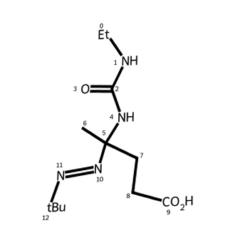 CCNC(=O)NC(C)(CCC(=O)O)N=NC(C)(C)C